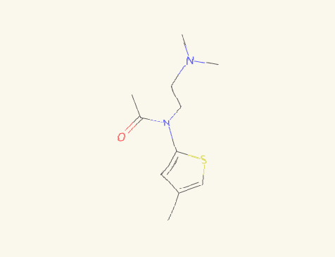 CC(=O)N(CCN(C)C)c1cc(C)cs1